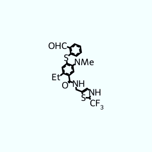 CCc1cc(Sc2ccccc2C=O)c(NC)cc1C(=O)NCC1=CNC(C(F)(F)F)S1